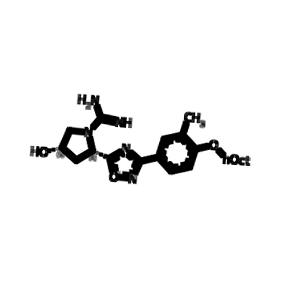 CCCCCCCCOc1ccc(-c2noc([C@@H]3C[C@H](O)CN3C(=N)N)n2)cc1C